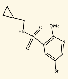 COc1ncc(Br)cc1S(=O)(=O)NCC1CC1